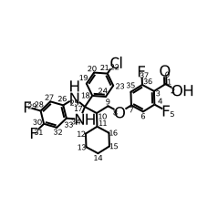 O=C(O)c1c(F)cc(OCC(C2CCCCC2)C2(c3ccc(Cl)cc3)Nc3cc(F)c(F)cc3N2)cc1F